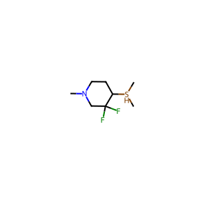 CN1CCC([SH](C)C)C(F)(F)C1